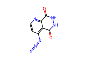 [N-]=[N+]=Nc1ccnc2c(=O)[nH][nH]c(=O)c12